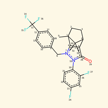 CC12CCC(c3c1n(Cc1ccc(C(F)(F)F)cc1)n(-c1ccc(F)cc1F)c3=O)C2(C)C